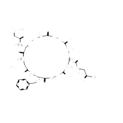 CC(=O)NCC(=O)N[C@H]1CCNC(=O)CCC(=O)NC[C@@H](C(=O)NCC(N)=O)NC(=O)CNC(=O)[C@@H](Cc2ccccc2)NC(=O)[C@H](C)NC1=O